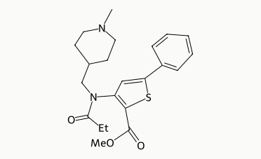 CCC(=O)N(CC1CCN(C)CC1)c1cc(-c2ccccc2)sc1C(=O)OC